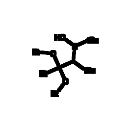 CCOC(CC)(OCC)C(N(O)C(C)(C)C)C(C)(C)C